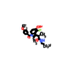 Cc1c([C@H](C)C(=O)NCCC(=O)O)c2c(F)c(O)ccc2n1C(=O)c1ccc(OC(F)(F)F)cc1